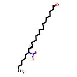 CCCCCCC(/C=C/CCCCCCCCCCCCC=O)[N+](=O)[O-]